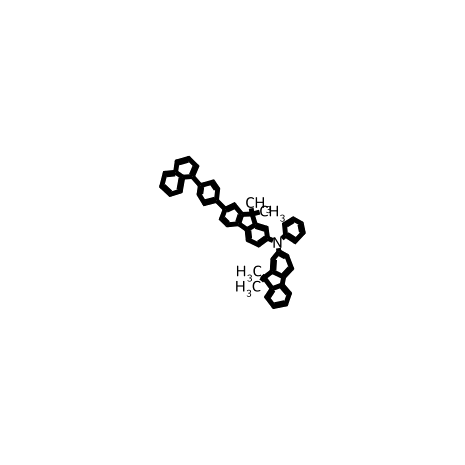 CC1(C)c2ccccc2-c2ccc(N(c3ccccc3)c3ccc4c(c3)C(C)(C)c3cc(-c5ccc(-c6cccc7ccccc67)cc5)ccc3-4)cc21